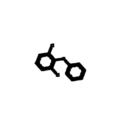 Clc1c[c]cc(Cl)c1Oc1ccccc1